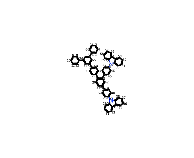 c1ccc(-c2cc(-c3ccccc3)cc(-c3ccc(-c4ccc(-c5ccc(-n6c7ccccc7c7ccccc76)cc5)cc4-c4ccc(-n5c6ccccc6c6ccccc65)cc4)cc3)c2)cc1